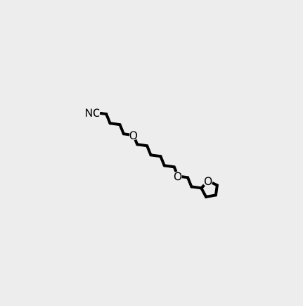 N#CCCCCOCCCCCCOCCC1CCCO1